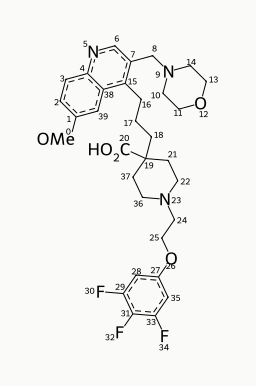 COc1ccc2ncc(CN3CCOCC3)c(CCCC3(C(=O)O)CCN(CCOc4cc(F)c(F)c(F)c4)CC3)c2c1